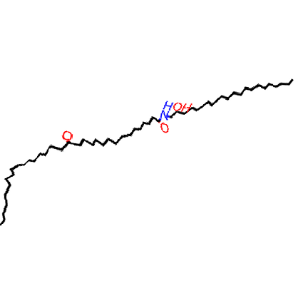 CCCCCCCC/C=C\CCCCCCCC(=O)CCCCCCCCCCCCCCC(=O)NCC(O)CCCCCCCCCCCCCCCCCC